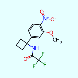 COc1cc(C2(NC(=O)C(F)(F)F)CCC2)ccc1[N+](=O)[O-]